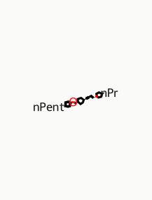 CCCCCc1ccc(OC[C@H]2CC[C@H](C#CC=C[C@H]3CC[C@H](CCC)CC3)CC2)cc1